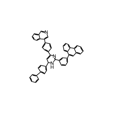 C1=C(c2ccc(-c3cncc4ccccc34)cc2)N=C(c2cccc(-c3cc4ccccc4c4ccccc34)c2)NC1c1ccc(-c2ccccc2)cc1